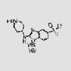 Br.Br.CCS(=O)(=O)c1ccc2oc(NC3CCNCC3)nc2c1